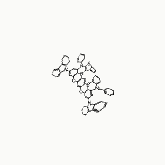 c1ccc(N2c3ccccc3B3c4cc5c(cc4Oc4cc(-n6c7c(c8ccccc86)CCCC7)cc2c43)Oc2cc(-n3c4c(c6ccccc63)CCCC4)cc3c2B5c2c(sc4ccccc24)N3c2ccccc2)cc1